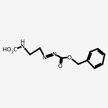 O=C(O)NCCN=NC(=O)OCc1ccccc1